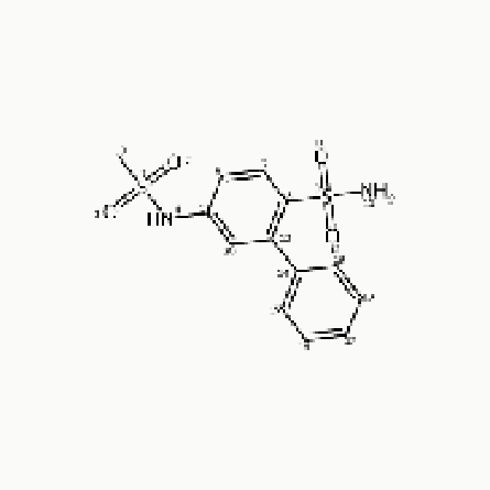 CS(=O)(=O)Nc1ccc(S(N)(=O)=O)c(-c2ccccc2)c1